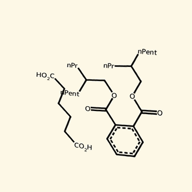 CCCCCC(CCC)COC(=O)c1ccccc1C(=O)OCC(CCC)CCCCC.O=C(O)CCCCC(=O)O